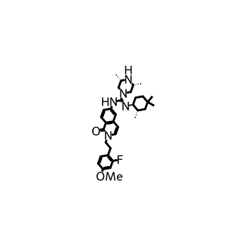 COc1ccc(CCn2ccc3cc(NC(=N[C@H]4CCC(C)(C)C[C@@H]4C)N4C[C@@H](C)N[C@@H](C)C4)ccc3c2=O)c(F)c1